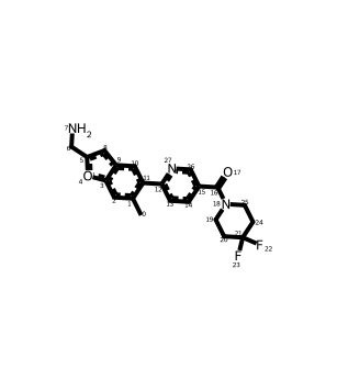 Cc1cc2oc(CN)cc2cc1-c1ccc(C(=O)N2CCC(F)(F)CC2)cn1